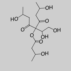 CC(O)CC(=O)OC(C(=O)CC(C)O)(C(=O)CC(C)O)C(O)CO